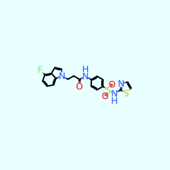 O=C(CCn1ccc2c(F)cccc21)Nc1ccc(S(=O)(=O)Nc2nccs2)cc1